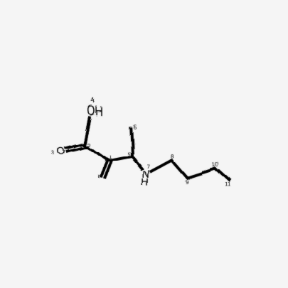 C=C(C(=O)O)C(C)NCCCC